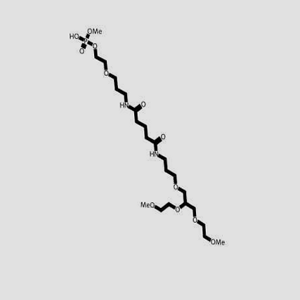 COCCOCC(COCCCNC(=O)CCCC(=O)NCCCOCCOP(=O)(O)OC)OCCOC